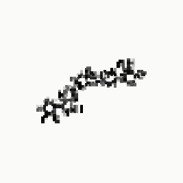 CC1(NCc2ccc(N3CCC(=O)NC3=O)nn2)CCN(c2cnc3c(-c4cccc(Cl)c4Cl)n[nH]c3n2)CC1